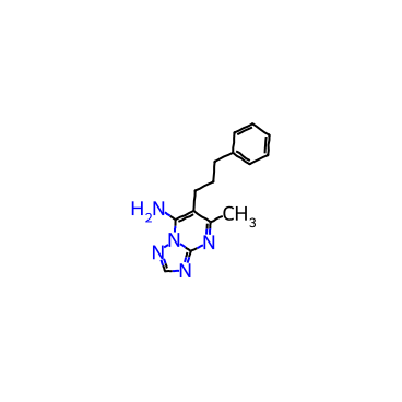 Cc1nc2ncnn2c(N)c1CCCc1ccccc1